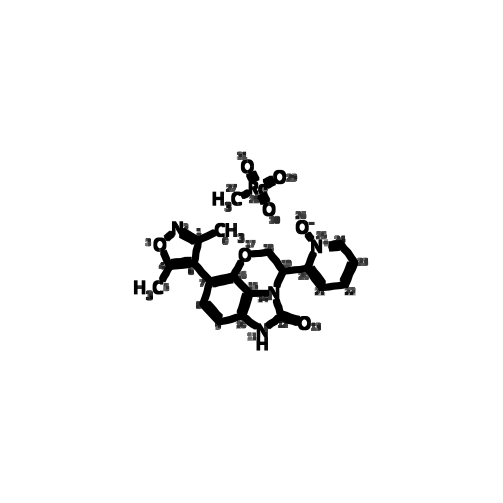 Cc1noc(C)c1-c1ccc2[nH]c(=O)n3c2c1OCC3c1cccc[n+]1[O-].[CH3][Re](=[O])(=[O])=[O]